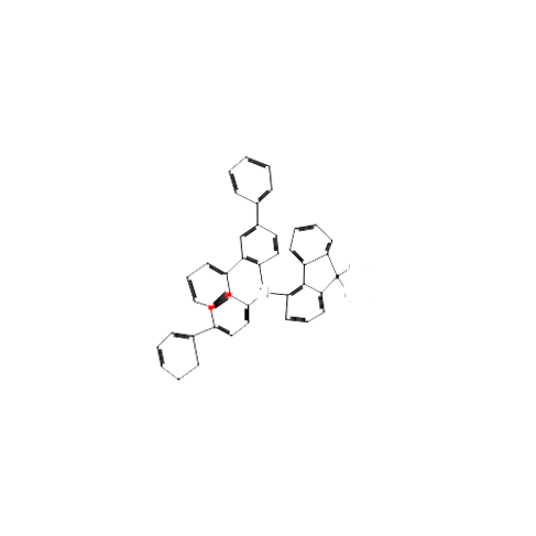 CC1(C)c2ccccc2-c2c(N(c3ccc(C4=CC=CCC4)cc3)c3ccc(-c4ccccc4)cc3-c3ccccc3)cccc21